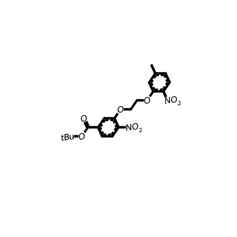 Cc1ccc([N+](=O)[O-])c(OCCOc2cc(C(=O)OC(C)(C)C)ccc2[N+](=O)[O-])c1